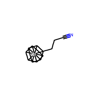 N#CCC[C]12[CH]3[CH]4[CH]5[CH]1[Fe]45321678[CH]2[CH]1[CH]6[CH]7[CH]28